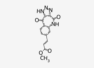 COC(=O)C=Cc1ccc2c(=O)c3[nH]nnc3c(=O)[nH]c2c1